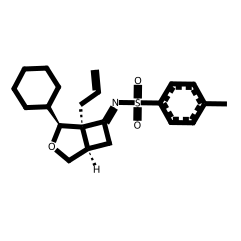 C=CC[C@]12/C(=N/S(=O)(=O)c3ccc(C)cc3)C[C@H]1CO[C@H]2C1CCCCC1